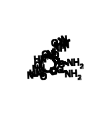 Cc1ncc(C(=O)NCC(=O)N(C)[C@@H]2C(=O)N[C@@H](C)C(=O)N[C@H](C(=O)NCC#N)Cc3ccc(OCCN)c(c3)-c3cc2ccc3OCCN)c(C)n1